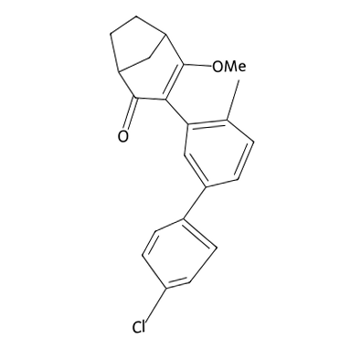 COC1=C(c2cc(-c3ccc(Cl)cc3)ccc2C)C(=O)C2CCC1C2